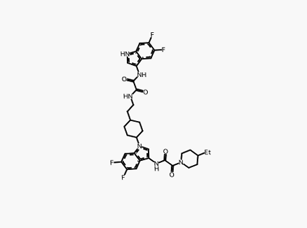 CCC1CCN(C(=O)C(=O)Nc2cn(C3CCC(CCNC(=O)C(=O)Nc4c[nH]c5cc(F)c(F)cc45)CC3)c3cc(F)c(F)cc23)CC1